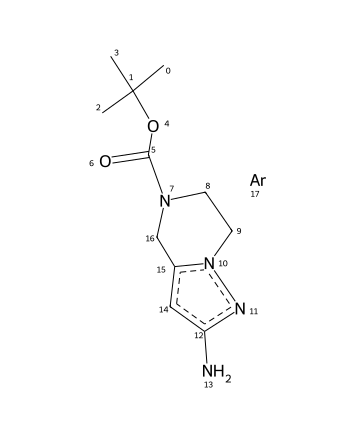 CC(C)(C)OC(=O)N1CCn2nc(N)cc2C1.[Ar]